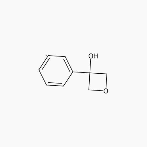 OC1(c2c[c]ccc2)COC1